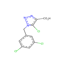 O=C(O)c1nnn(Cc2cc(Cl)cc(Cl)c2)c1Cl